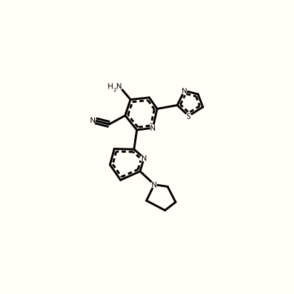 N#Cc1c(N)cc(-c2nccs2)nc1-c1cccc(N2CCCC2)n1